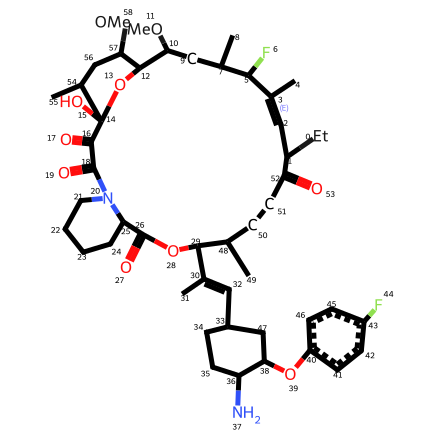 CCC1/C=C(\C)C(F)C(C)CC(OC)C2OC(O)(C(=O)C(=O)N3CCCCC3C(=O)OC(C(C)=CC3CCC(N)C(Oc4ccc(F)cc4)C3)C(C)CCC1=O)C(C)CC2OC